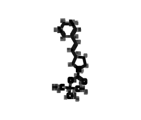 CC(C)(C)OC(=O)N1CCC(/C=C/c2cncnc2)C1